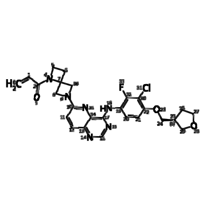 C=CC(=O)N1CCC12CN(c1ccc3ncnc(Nc4ccc(OC[C@H]5CCOC5)c(Cl)c4F)c3n1)C2